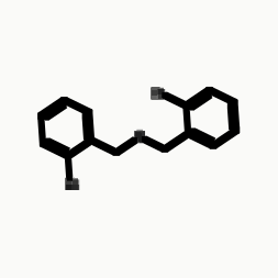 CCc1ccccc1C[N]Cc1ccccc1CC